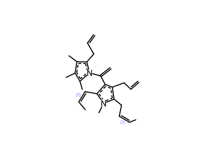 C=CCc1c(C(=C)n2c(C)c(C)c(C)c2CC=C)c(/C=C\C)n(C)c1C/C=C\C